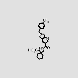 O=C(O)CC1(CNC(=O)c2cnc3c(c2)CN(Cc2ccc(C(F)(F)F)cc2)C3)CCCCC1